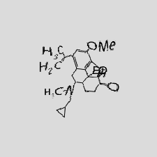 C=C(C)c1cc(OC)c2c3c1CC(N(C)CC1CC1)C1CCC(=O)[C@@H](O2)[C@@]31CC